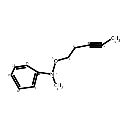 CC#CCCON(C)c1ccccc1